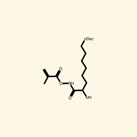 C=C(C)C(=O)ONC(=O)C(CCC)CCCCCCCCCCCCCCCC